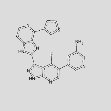 Nc1cncc(-c2cnc3[nH]nc(-c4nc5c(-c6ccsc6)nccc5[nH]4)c3c2F)c1